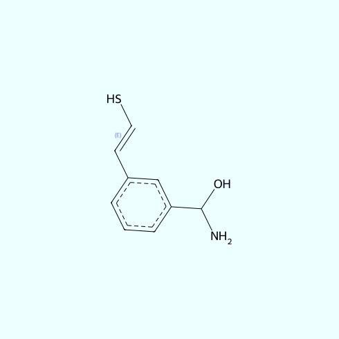 NC(O)c1cccc(/C=C/S)c1